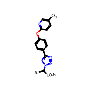 CCC(C(=O)O)n1nnc(-c2ccc(Oc3ccc(C(F)(F)F)cn3)cc2)n1